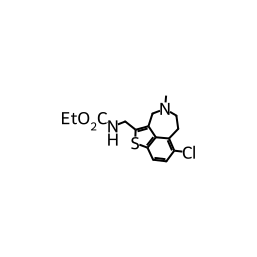 CCOC(=O)NCc1sc2ccc(Cl)c3c2c1CN(C)CC3